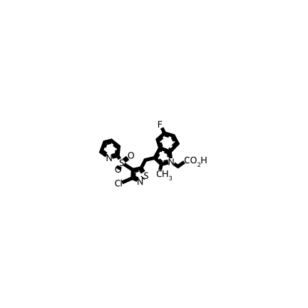 Cc1c(Cc2snc(Cl)c2S(=O)(=O)c2ccccn2)c2cc(F)ccc2n1CC(=O)O